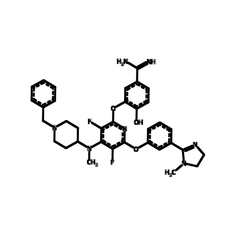 CN1CCN=C1c1cccc(Oc2nc(Oc3cc(C(=N)N)ccc3O)c(F)c(N(C)C3CCN(Cc4ccccc4)CC3)c2F)c1